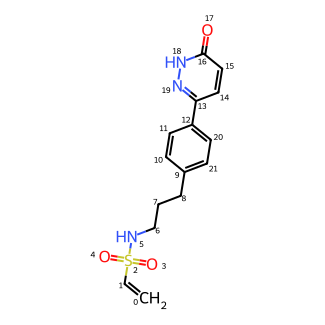 C=CS(=O)(=O)NCCCc1ccc(-c2ccc(=O)[nH]n2)cc1